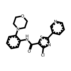 O=C(Nc1ccccc1N1CCOCC1)c1sc(-c2cccnc2)nc1Cl